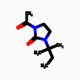 CCC(C)(C)N1CCN(C(C)=O)C1=O